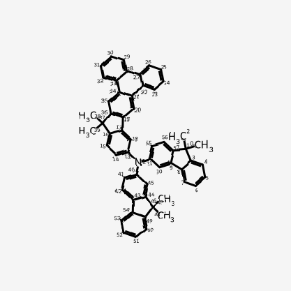 CC1(C)c2ccccc2-c2cc(N(c3ccc4c(c3)-c3cc5c6ccccc6c6ccccc6c5cc3C4(C)C)c3ccc4c(c3)C(C)(C)c3ccccc3-4)ccc21